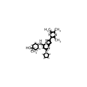 Cc1nc(C)c(-c2cc3nc(N4CCCC4)cc(N[C@H]4CC[C@](C)(O)CC4)n3n2)nc1C